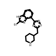 CCc1nc2c(-c3noc(CC4CCCNC4)n3)cccc2[nH]1